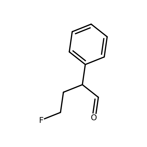 O=CC(CCF)c1ccccc1